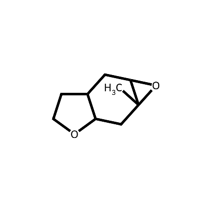 CC12CC3OCCC3CC1O2